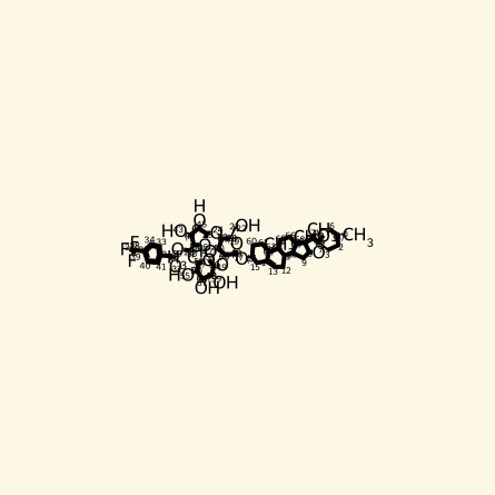 C[C@@H]1CC[C@@]2(OC1)OC1CC3C4CC=C5C[C@@H](O[C@@H]6O[C@H](CO)[C@@H](OC7O[C@@H](COC(=O)c8ccc(C(F)(F)F)cc8)[C@H](O)[C@H]7O)[C@H](O)[C@H]6OC6O[C@@H](C)[C@H](O)[C@@H](O)[C@H]6O)CC[C@]5(C)C4CC[C@]3(C)C1[C@@H]2C